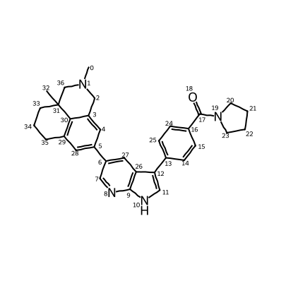 CN1Cc2cc(-c3cnc4[nH]cc(-c5ccc(C(=O)N6CCCC6)cc5)c4c3)cc3c2C(C)(CCC3)C1